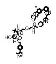 Cc1ncsc1-c1ccc(CNC(=O)[C@@H]2C[C@@H](O)CN2C(=O)[C@@H](NC(=O)CCOCCNC(=O)CN2CCC(n3cc(-c4cnc5cccc(-c6cc(F)c(CN7CCOCC7)c(F)c6)c5n4)cn3)CC2)C(C)(C)C)cc1